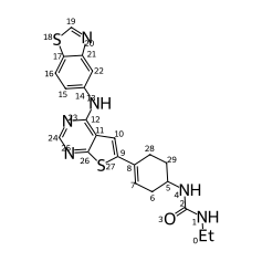 CCNC(=O)NC1CC=C(c2cc3c(Nc4ccc5scnc5c4)ncnc3s2)CC1